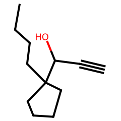 C#CC(O)C1(CCCC)CCCC1